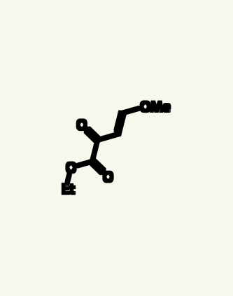 CCOC(=O)C(=O)C=COC